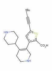 CC(C)(C)C#Cc1cc(C2=C(C3CCNCC3)CCNC2)c(C(=O)O)s1